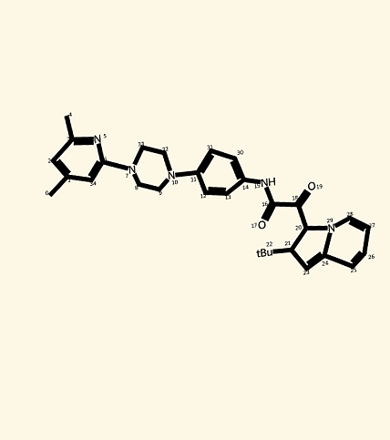 Cc1cc(C)nc(N2CCN(c3ccc(NC(=O)C(=O)C4C(C(C)(C)C)C=C5C=CC=CN54)cc3)CC2)c1